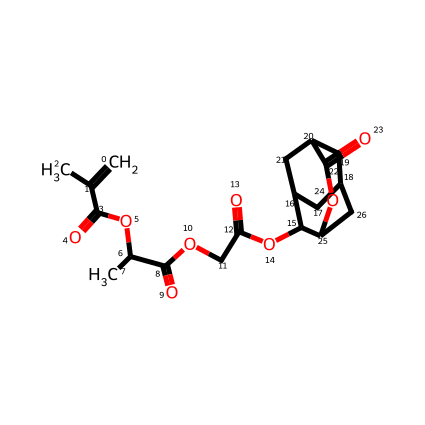 C=C(C)C(=O)OC(C)C(=O)OCC(=O)OC1C2CC3CC(C2)C(=O)OC1C3